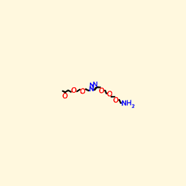 CC(=O)CCOCCOCCn1cc(COCCOCCOCCN)nn1